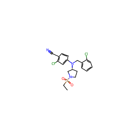 CCS(=O)(=O)N1CC[C@H](N(Cc2ccccc2Cl)c2ccc(C#N)c(Cl)c2)C1